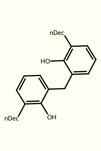 CCCCCCCCCCc1cccc(Cc2cccc(CCCCCCCCCC)c2O)c1O